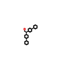 O=CC(c1ccc(-c2ccccc2)cc1)c1ccc(-c2ccccc2)cc1